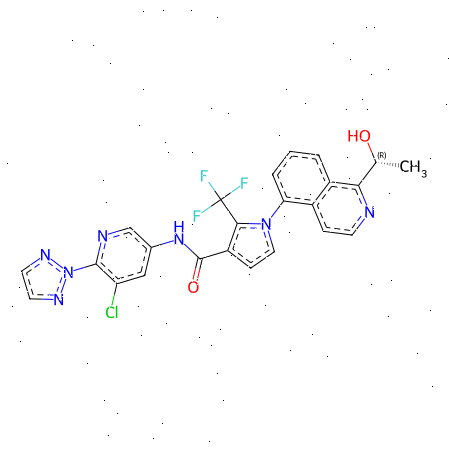 C[C@@H](O)c1nccc2c(-n3ccc(C(=O)Nc4cnc(-n5nccn5)c(Cl)c4)c3C(F)(F)F)cccc12